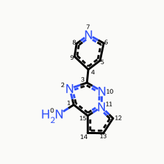 Nc1nc(-c2ccncc2)nn2cccc12